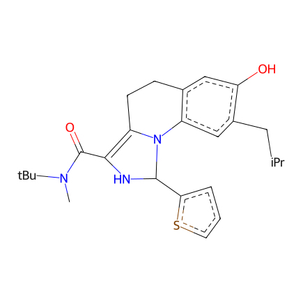 CC(C)Cc1cc2c(cc1O)CCC1=C(C(=O)N(C)C(C)(C)C)NC(c3cccs3)N12